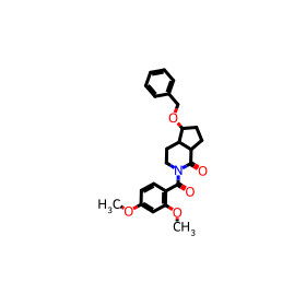 COc1ccc(C(=O)N2CCC3C(OCc4ccccc4)CCC3C2=O)c(OC)c1